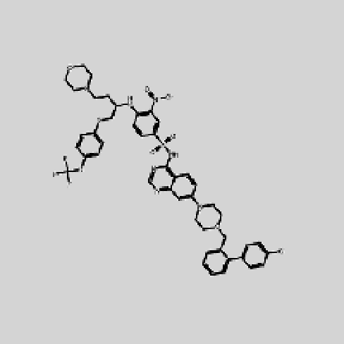 O=[N+]([O-])c1cc(S(=O)(=O)Nc2ncnc3cc(N4CCN(Cc5ccccc5-c5ccc(Cl)cc5)CC4)ccc23)ccc1NC(CCN1CCOCC1)CSc1ccc(OC(F)(F)F)cc1